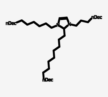 CCCCCCCCCCCCCCCCCCC1N(CCCCCCCCCCCCC)C=CN1CCCCCCCCCCCCCCCC